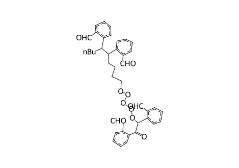 CCCCC(c1ccccc1C=O)C(CCCCOOOOOC(C(=O)c1ccccc1C=O)c1ccccc1C=O)c1ccccc1C=O